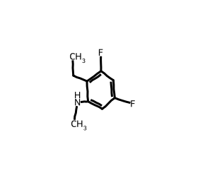 CCc1c(F)cc(F)cc1NC